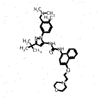 Cc1ccc(-n2nc(C(C)(C)C)cc2NC(=O)Nc2ccc(OCCN3CCOCC3)c3ccccc23)cc1CN(C)C